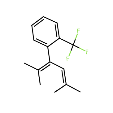 CC(C)=CC(=C(C)C)c1ccccc1C(F)(F)F